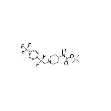 CC(C)(C)OC(=O)NC1CCN(CC(F)(F)c2ccc(C(F)(F)F)cc2)CC1